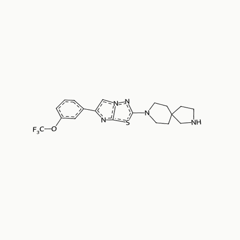 FC(F)(F)Oc1cccc(-c2cn3nc(N4CCC5(CCNC5)CC4)sc3n2)c1